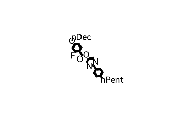 CCCCCCCCCCOc1ccc(C(=O)Oc2cnc(-c3ccc(CCCCC)cc3)nc2)c(F)c1